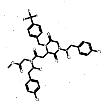 COC(=O)CN(C(=O)CC1C(=O)N(C(Cl)Cc2ccc(Cl)cc2)CC(=O)N1Cc1ccc(C(F)(F)F)cc1)C(Cl)Cc1ccc(Cl)cc1